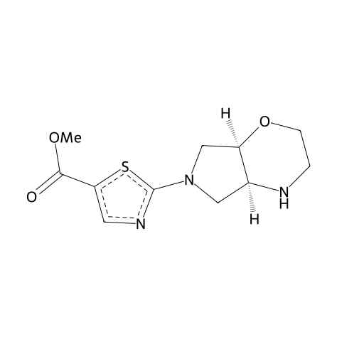 COC(=O)c1cnc(N2C[C@@H]3NCCO[C@@H]3C2)s1